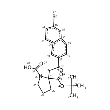 CC(C)(C)OC(=O)C1(CC(=O)c2ccc3cc(Br)ccc3c2)CCCN1C(=O)O